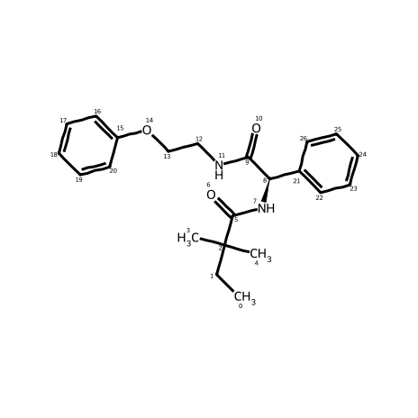 CCC(C)(C)C(=O)N[C@@H](C(=O)NCCOc1ccccc1)c1ccccc1